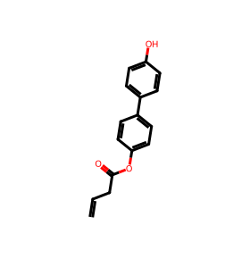 C=CCC(=O)Oc1ccc(-c2ccc(O)cc2)cc1